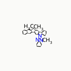 Cn1c(-n2c3ccccc3c3cc4c(cc32)-c2cc3ccccc3cc2C4(C)C)nc2ccccc21